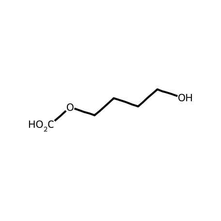 O=C(O)OCCCCO